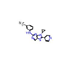 Cc1cccc(Nc2ncc3nc(-c4ccncc4)n(C4CC4)c3n2)c1